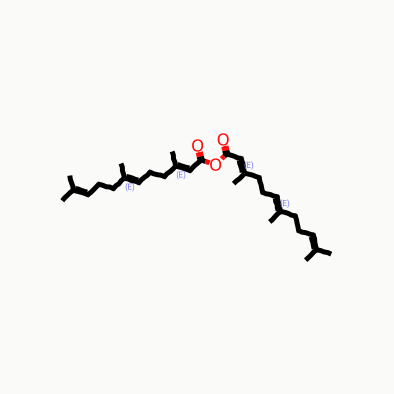 CC(C)=CCC/C(C)=C/CC/C(C)=C/C(=O)OC(=O)/C=C(\C)CC/C=C(\C)CCC=C(C)C